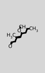 CCCC(/C=C(\C)CC=O)OC